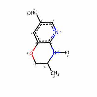 CCN1c2ncc(C=O)cc2OCC1C